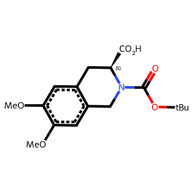 COc1cc2c(cc1OC)CN(C(=O)OC(C)(C)C)[C@H](C(=O)O)C2